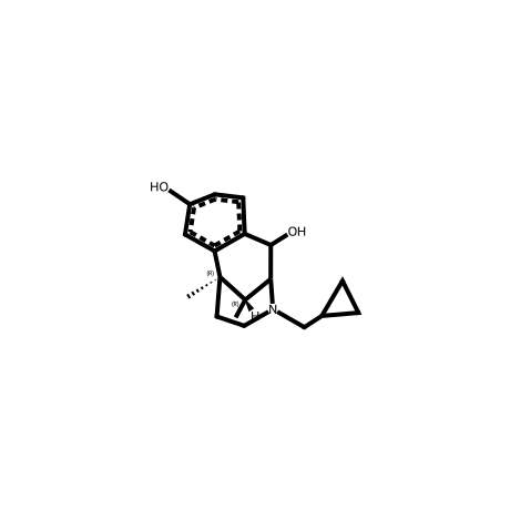 C[C@H]1C2C(O)c3ccc(O)cc3[C@]1(C)CCN2CC1CC1